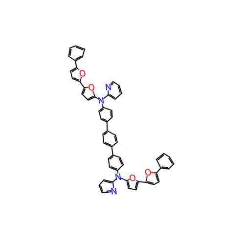 c1ccc(-c2ccc(-c3ccc(N(c4ccc(-c5ccc(-c6ccc(N(c7ccccn7)c7ccc(-c8ccc(-c9ccccc9)o8)o7)cc6)cc5)cc4)c4ccccn4)o3)o2)cc1